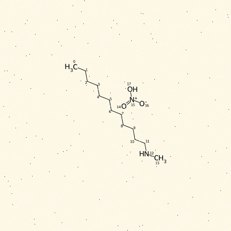 CCCCCCCCCCCCNC.O=[N+]([O-])O